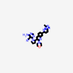 Cc1nnc2ccc(-c3ccc4cc(C5CCCN5c5ncnc(N)c5C#N)c(N5CCOCC5)nc4c3)nn12